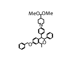 COC(OC)C1CCN(c2ccc(C3c4ccc(OCc5ccccc5)cc4C(C)OC3c3ccccc3)cc2)CC1